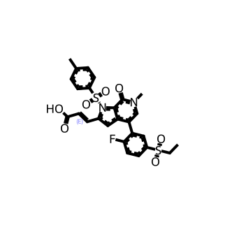 CCS(=O)(=O)c1ccc(F)c(-c2cn(C)c(=O)c3c2cc(/C=C/C(=O)O)n3S(=O)(=O)c2ccc(C)cc2)c1